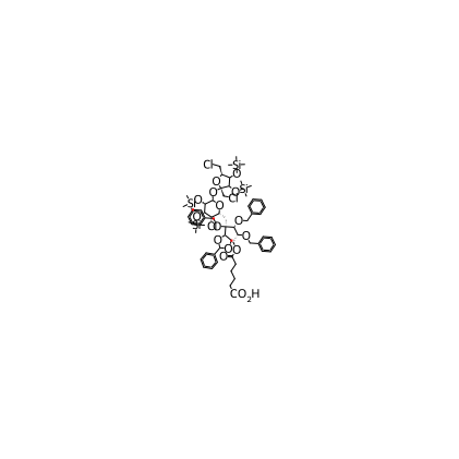 C[Si](C)(C)OC1C(O[Si](C)(C)C)[C@](CCl)(O[C@H]2O[C@H](C[C@@](OCc3ccccc3)(C3COC(c4ccccc4)O3)[C@H](OCc3ccccc3)[C@@H](COC(=O)CCCCC(=O)O)OCc3ccccc3)[C@H](Cl)[C@H](O[Si](C)(C)C)[C@H]2O[Si](C)(C)C)O[C@H]1CCl